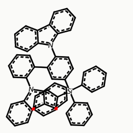 c1ccc([Si](c2ccccc2)(c2ccccc2)c2ccc(-n3c4ccccc4c4ccccc43)c(-c3ccccc3-n3c4ccccc4c4ccccc43)c2)cc1